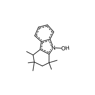 CC1c2c(n(O)c3ccccc23)C(C)(C)CC1(C)C